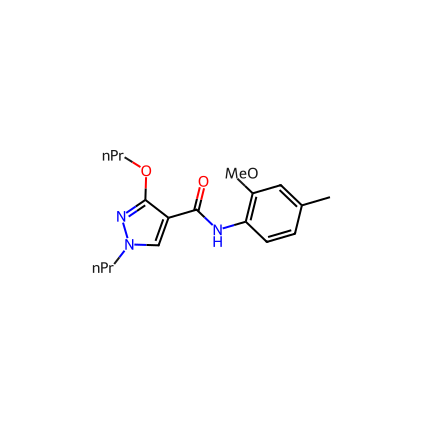 CCCOc1nn(CCC)cc1C(=O)Nc1ccc(C)cc1OC